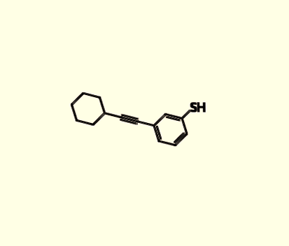 Sc1cccc(C#CC2CCCCC2)c1